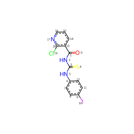 O=C(NC(=S)Nc1ccc(I)cc1)c1cccnc1Cl